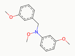 COc1cccc(CN(OC)c2cccc(OC)c2)c1